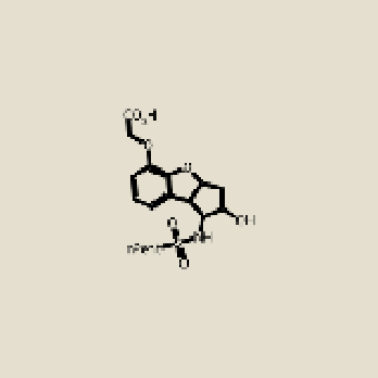 CCCCCS(=O)(=O)NC1C(O)CC2Oc3c(OCC(=O)O)cccc3C21